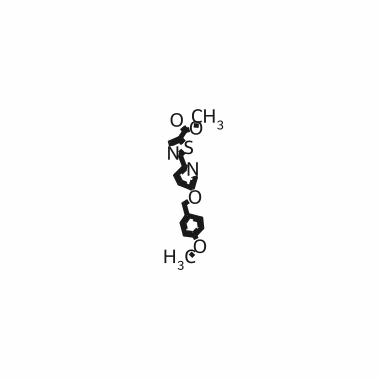 COC(=O)c1cnc(-c2ccc(OCc3ccc(OC)cc3)cn2)s1